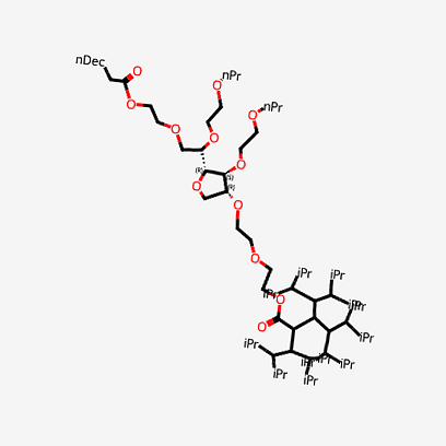 CCCCCCCCCCCC(=O)OCCOCC(OCCOCCC)[C@H]1OC[C@@H](OCCOCCOC(=O)C(C(C(C(C)C)C(C)C)C(C(C)C)C(C)C)C(C(C(C(C)C)C(C)C)C(C(C)C)C(C)C)C(C(C(C)C)C(C)C)C(C(C)C)C(C)C)[C@@H]1OCCOCCC